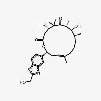 C/C1=C\C[C@@H](c2ccc3sc(CO)nc3c2)OC(=O)C[C@H](O)C(C)(C)C(=O)[C@H](C)[C@@H](O)[C@@H](C)CCC1